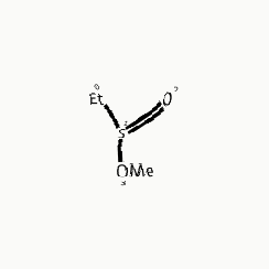 [CH2]CS(=O)OC